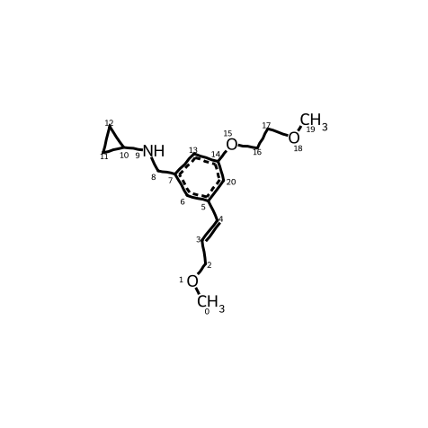 COCC=Cc1cc(CNC2CC2)cc(OCCOC)c1